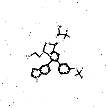 NCC[C@H]1CNC(=O)c2cc(-c3cccc(OC(F)(F)F)c3)c(-c3ccc4[nH]ccc4c3)n21.O=C(O)C(F)(F)F